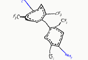 Nc1cc(C(F)(F)F)c(-c2cc(C(F)(F)F)c(N)cc2C(F)(F)F)cc1C(F)(F)F